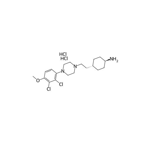 COc1ccc(N2CCN(CC[C@H]3CC[C@H](N)CC3)CC2)c(Cl)c1Cl.Cl.Cl